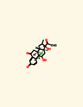 CC1C[C@H]2[C@@H]3CC(=O)C4=CC(=O)C=C[C@]4(C)[C@@]3(Cl)C(O)C[C@]2(C)[C@@]1(O)C(=O)C=O